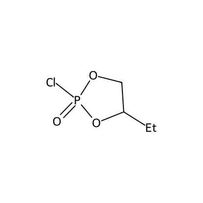 CCC1COP(=O)(Cl)O1